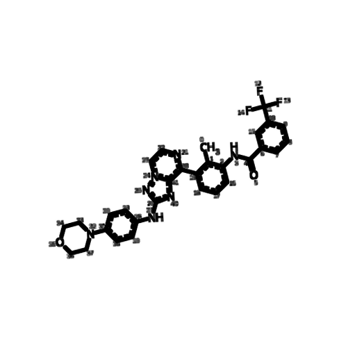 Cc1c(NC(=O)c2cccc(C(F)(F)F)c2)cccc1-c1nccn2nc(Nc3ccc(N4CCOCC4)cc3)nc12